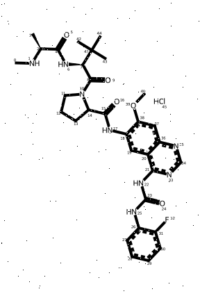 CN[C@@H](C)C(=O)N[C@H](C(=O)N1CCCC1C(=O)Nc1cc2c(NC(=O)Nc3ccccc3F)ncnc2cc1OC)C(C)(C)C.Cl